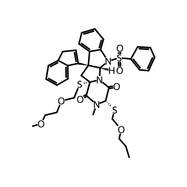 CCCOCS[C@H]1C(=O)N2[C@H]3N(S(=O)(=O)c4ccccc4)c4ccccc4[C@@]3(C3=CCc4ccccc43)C[C@]2(SCOCCOC)C(=O)N1C